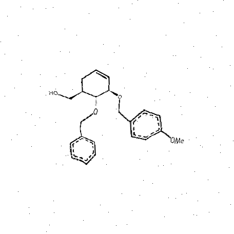 COc1ccc(CO[C@@H]2C=CC[C@H](CO)[C@H]2OCc2ccccc2)cc1